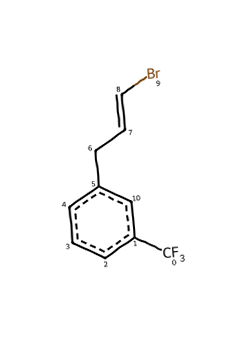 FC(F)(F)c1cccc(C/C=C/Br)c1